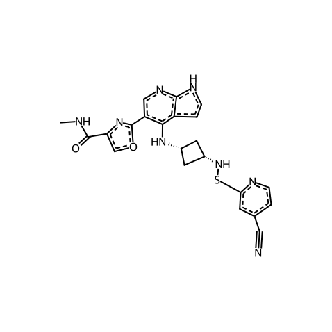 CNC(=O)c1coc(-c2cnc3[nH]ccc3c2N[C@H]2C[C@@H](NSc3cc(C#N)ccn3)C2)n1